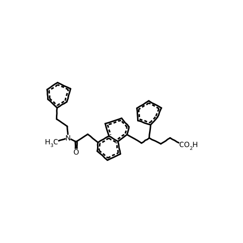 CN(CCc1ccccc1)C(=O)Cc1cccc2c(CC(CCC(=O)O)c3ccccc3)cccc12